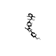 Cc1sc(-c2ccc(N)nc2)nc1-c1cnc(NC(=O)c2c(F)cccc2F)cn1